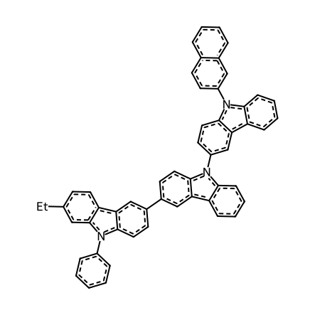 CCc1ccc2c3cc(-c4ccc5c(c4)c4ccccc4n5-c4ccc5c(c4)c4ccccc4n5-c4ccc5ccccc5c4)ccc3n(-c3ccccc3)c2c1